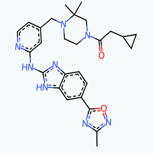 Cc1noc(-c2ccc3nc(Nc4cc(CN5CCN(C(=O)CC6CC6)CC5(C)C)ccn4)[nH]c3c2)n1